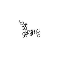 CCc1ccc(NC(=O)OC[C@@H]2C[C@@H](NC(=O)OCC3c4ccccc4-c4ccccc43)CN2C(=O)OC(C)(C)C)cc1